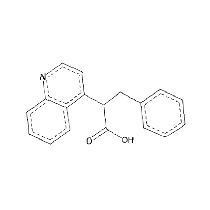 O=C(O)C(Cc1ccccc1)c1ccnc2ccccc12